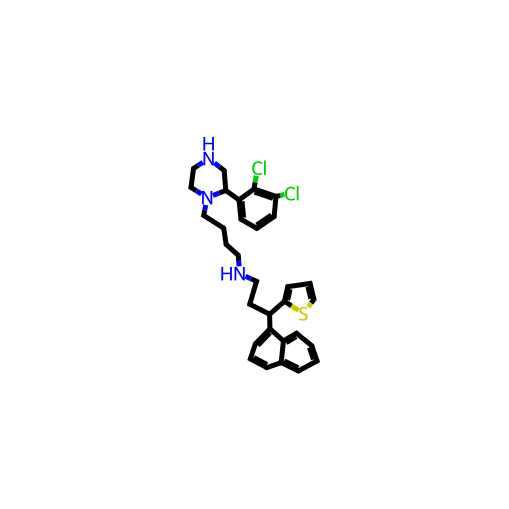 Clc1cccc(C2CNCCN2CCCCNCCC(c2cccs2)c2cccc3ccccc23)c1Cl